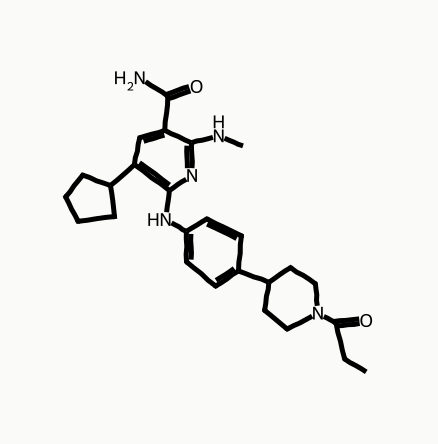 CCC(=O)N1CCC(c2ccc(Nc3nc(NC)c(C(N)=O)cc3C3CCCC3)cc2)CC1